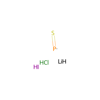 Cl.I.[LiH].[P]=S